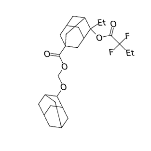 CCC(F)(F)C(=O)OC1(CC)C2CC3CC1CC(C(=O)OCOC1C4CC5CC(C4)CC1C5)(C3)C2